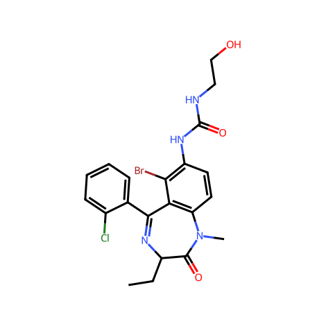 CCC1N=C(c2ccccc2Cl)c2c(ccc(NC(=O)NCCO)c2Br)N(C)C1=O